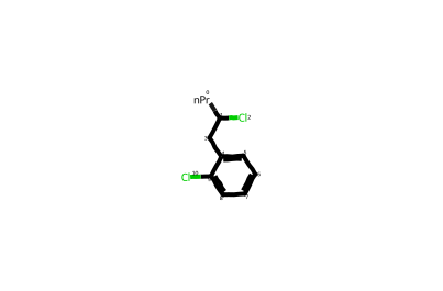 CCCC(Cl)Cc1ccccc1Cl